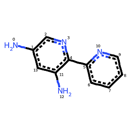 Nc1cnc(-c2ccccn2)c(N)c1